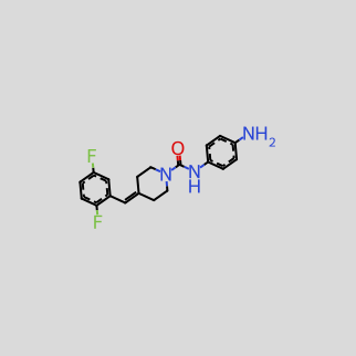 Nc1ccc(NC(=O)N2CCC(=Cc3cc(F)ccc3F)CC2)cc1